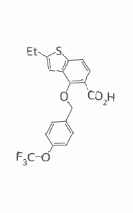 CCc1cc2c(OCc3ccc(OC(F)(F)F)cc3)c(C(=O)O)ccc2s1